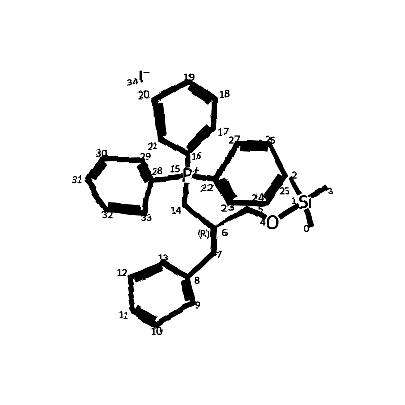 C[Si](C)(C)OC[C@@H](Cc1ccccc1)C[P+](c1ccccc1)(c1ccccc1)c1ccccc1.[I-]